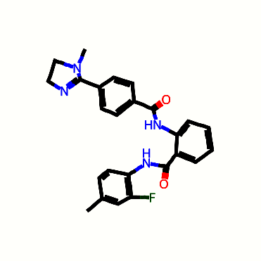 Cc1ccc(NC(=O)c2ccccc2NC(=O)c2ccc(C3=NCCN3C)cc2)c(F)c1